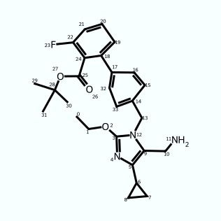 CCOc1nc(C2CC2)c(CN)n1Cc1ccc(-c2cccc(F)c2C(=O)OC(C)(C)C)cc1